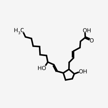 CCCCCCCC(O)C=CC1CCC(O)C1CC=CCCC(=O)O